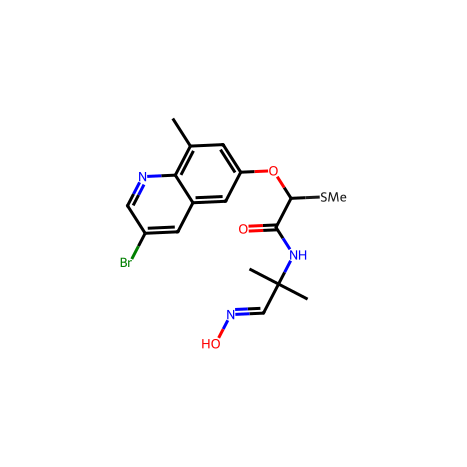 CSC(Oc1cc(C)c2ncc(Br)cc2c1)C(=O)NC(C)(C)C=NO